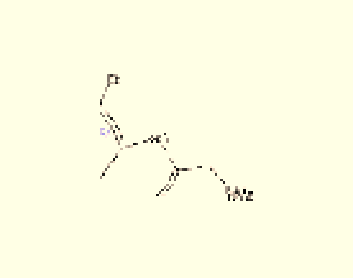 C=C(CNC)N/C(C)=C\CC